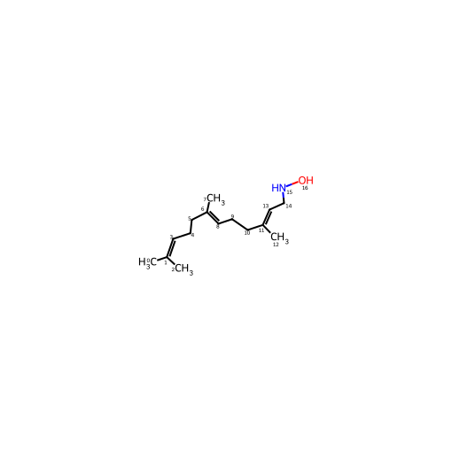 CC(C)=CCCC(C)=CCCC(C)=CCNO